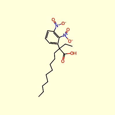 CCCCCCCCCC(CC)(C(=O)O)c1cccc([N+](=O)[O-])c1[N+](=O)[O-]